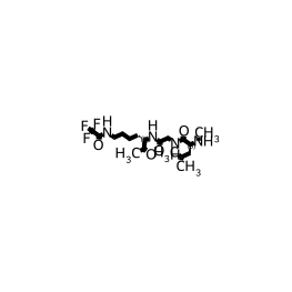 CN[C@@H](CC(C)C)C(=O)NCC(=O)N[C@@H](CCCCNC(=O)C(F)(F)F)C(C)=O